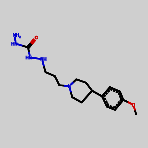 COc1ccc(C2CCN(CCCNNC(=O)NN)CC2)cc1